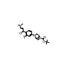 CN(C)C=CC(=O)c1ccc(N2CC3CC2CN3C(=O)OC(C)(C)C)cc1F